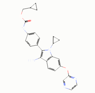 C[C@@H](OC(=O)Nc1ccc(-c2c(N)c3ccc(Oc4cnccn4)cc3n2C2CC2)cc1)C1CC1